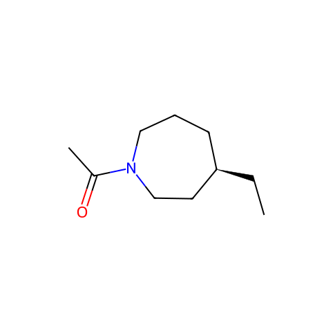 CC[C@@H]1CCCN(C(C)=O)CC1